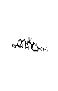 O=C(NCc1ccc(Br)cn1)c1cccc(C(F)(F)F)n1